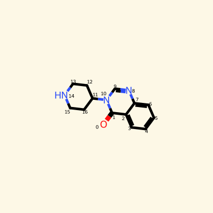 O=c1c2ccccc2ncn1C1CCNCC1